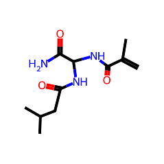 C=C(C)C(=O)NC(NC(=O)CC(C)C)C(N)=O